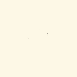 NC(=O)n1c(O)c(-c2nc3ccccc3o2)c2c[c]ccc21